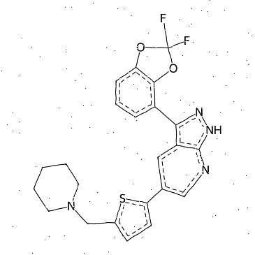 FC1(F)Oc2cccc(-c3n[nH]c4ncc(-c5ccc(CN6CCCCC6)s5)cc34)c2O1